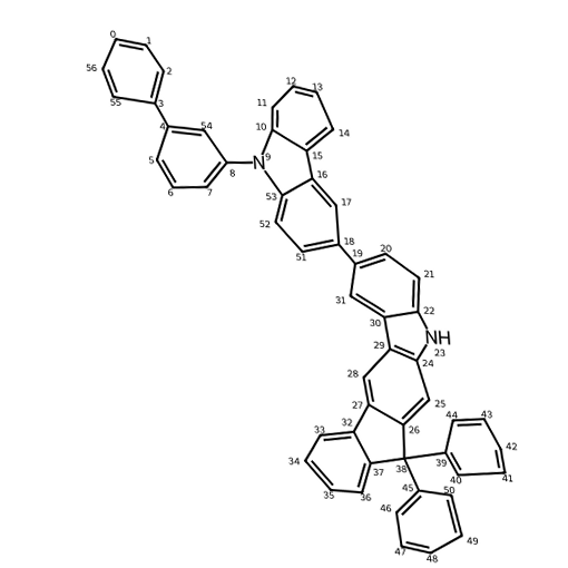 c1ccc(-c2cccc(-n3c4ccccc4c4cc(-c5ccc6[nH]c7cc8c(cc7c6c5)-c5ccccc5C8(c5ccccc5)c5ccccc5)ccc43)c2)cc1